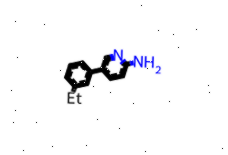 CCc1cccc(-c2ccc(N)nc2)c1